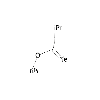 CCCOC(=[Te])C(C)C